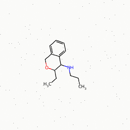 CCCNC1c2ccccc2COC1CC